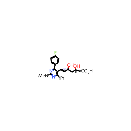 CNc1nc(-c2ccc(F)cc2)c(/C=C/C(O)C[C@@H](O)CC(=O)O)c(C(C)C)n1